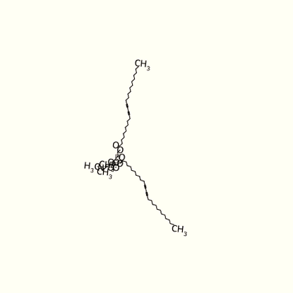 CCCCCCCCCCCCCC#CC#CCCCCCCCCCC(=O)OC[C@H](COP(=O)([O-])OCC[N+](C)(C)C)OC(=O)CCCCCCCCCC#CC#CCCCCCCCCCCCCC